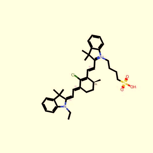 CCN1/C(=C/C=C2\CC[C@H](C)C(/C=C/C3=[N+](CCCCS(=O)(=O)O)c4ccccc4C3(C)C)=C2Cl)C(C)(C)c2ccccc21